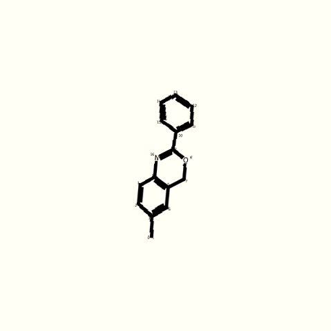 Cc1ccc2c(c1)COC(c1ccccc1)=N2